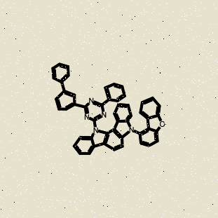 c1ccc(-c2cccc(-c3nc(-c4ccccc4)nc(-n4c5ccccc5c5ccc6c(c7ccccc7n6-c6cccc7oc8ccccc8c67)c54)n3)c2)cc1